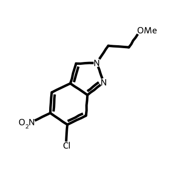 COCCn1cc2cc([N+](=O)[O-])c(Cl)cc2n1